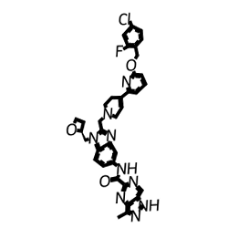 Cc1n[nH]c2cnc(C(=O)Nc3ccc4c(c3)nc(CN3CC=C(c5cccc(OCc6ccc(Cl)cc6F)n5)CC3)n4C[C@@H]3CCO3)nc12